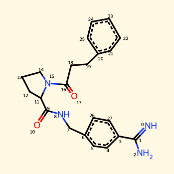 N=C(N)c1ccc(CNC(=O)C2CCCN2C(=O)CCc2ccccc2)cc1